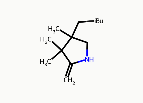 C=C1NCC(C)(CC(C)CC)C1(C)C